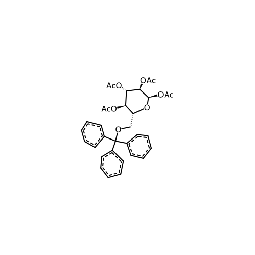 CC(=O)O[C@H]1O[C@H](COC(c2ccccc2)(c2ccccc2)c2ccccc2)[C@@H](OC(C)=O)[C@H](OC(C)=O)[C@H]1OC(C)=O